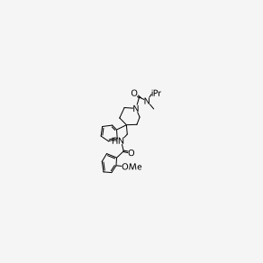 COc1ccccc1C(=O)NCC1(c2ccccc2)CCN(C(=O)N(C)C(C)C)CC1